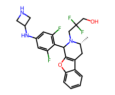 C[C@@H]1Cc2c(oc3ccccc23)C(c2c(F)cc(NC3CNC3)cc2F)N1CC(F)(F)CO